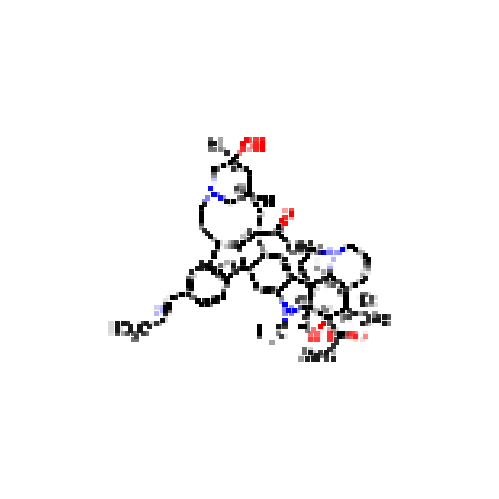 CC[C@]1(O)C[C@H]2CN(CCC3=C(Cc4ccc(/C=C/C(=O)O)cc43)[C@@](C(=O)OC)(C3C=C4C(=CC3OC)N(C)[C@H]3[C@@](O)(C(=O)OC)[C@H](OC(C)=O)[C@]5(CC)C=CCN6CC[C@]43[C@@H]65)C2)C1